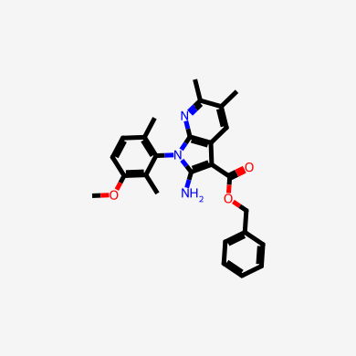 COc1ccc(C)c(-n2c(N)c(C(=O)OCc3ccccc3)c3cc(C)c(C)nc32)c1C